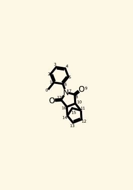 Cc1ccccc1N1C(=O)C2C3C=CC(C3)C2C1=O